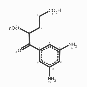 CCCCCCCCC(CCC(=O)O)C(=O)c1cc(N)cc(N)c1